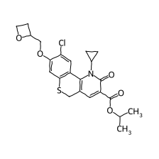 CC(C)OC(=O)c1cc2c(n(C3CC3)c1=O)-c1cc(Cl)c(OCC3CCO3)cc1SC2